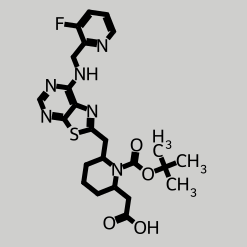 CC(C)(C)OC(=O)N1C(CC(=O)O)CCCC1Cc1nc2c(NCc3ncccc3F)ncnc2s1